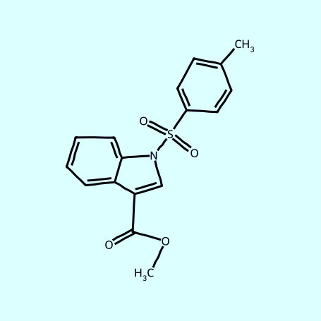 COC(=O)c1cn(S(=O)(=O)c2ccc(C)cc2)c2ccccc12